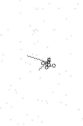 CCCCCCCCCCC[C@@H](O)C[C@H](O[Si](C)(C)C(C)(C)C)[C@@H](CCCCCC)C(=O)OCc1ccccc1